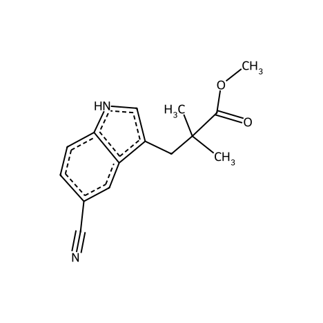 COC(=O)C(C)(C)Cc1c[nH]c2ccc(C#N)cc12